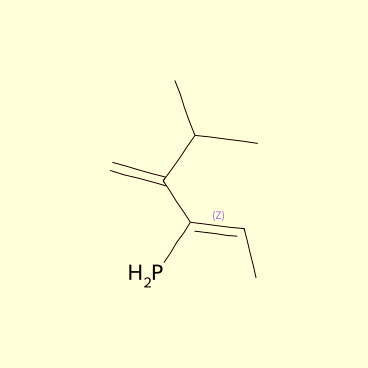 C=C(/C(P)=C/C)C(C)C